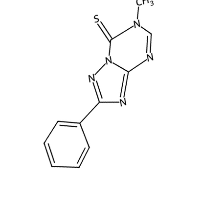 Cn1cnc2nc(-c3ccccc3)nn2c1=S